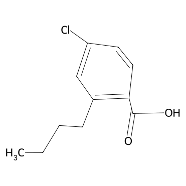 CCCCc1cc(Cl)ccc1C(=O)O